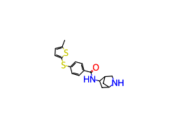 Cc1ccc(Sc2ccc(C(=O)NC3CC4CC3CN4)cc2)s1